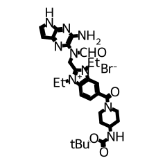 CCn1c(CN(C=O)c2nc3cc[nH]c3nc2N)[n+](CC)c2ccc(C(=O)N3CCC(NC(=O)OC(C)(C)C)CC3)cc21.[Br-]